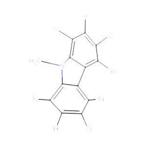 [2H]c1c(Cl)c([2H])c2c3c([2H])c(Cl)c([2H])c([2H])c3n(C)c2c1[2H]